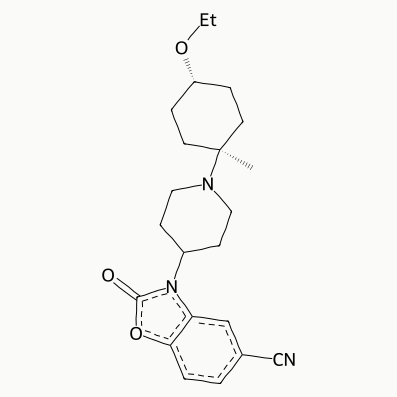 CCO[C@H]1CC[C@](C)(N2CCC(n3c(=O)oc4ccc(C#N)cc43)CC2)CC1